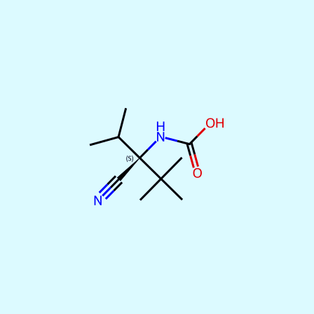 CC(C)[C@](C#N)(NC(=O)O)C(C)(C)C